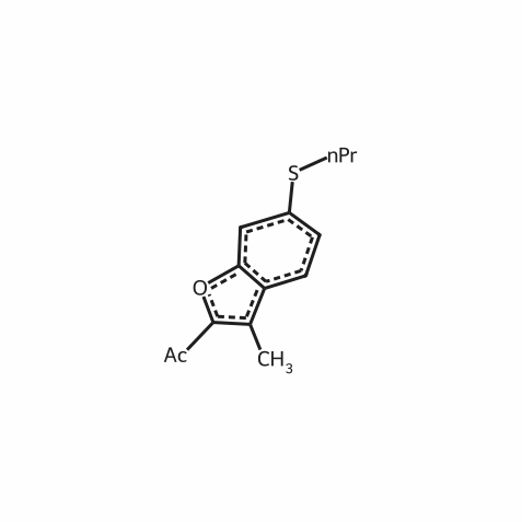 CCCSc1ccc2c(C)c(C(C)=O)oc2c1